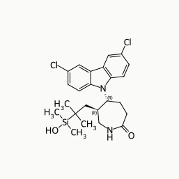 CC(C)(C[C@@H]1CNC(=O)CC[C@H]1n1c2ccc(Cl)cc2c2cc(Cl)ccc21)[Si](C)(C)O